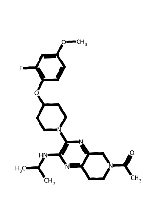 COc1ccc(OC2CCN(c3nc4c(nc3NC(C)C)CCN(C(C)=O)C4)CC2)c(F)c1